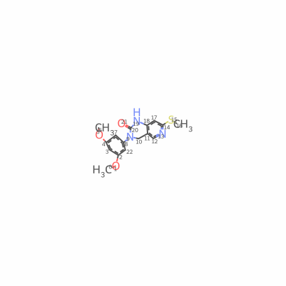 COc1cc(OC)cc(N2Cc3cnc(SC)cc3NC2=O)c1